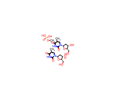 COP(=O)(O)O.Cc1cn([C@H]2C[C@H](O)[C@@H](CO)O2)c(=O)[nH]c1=O.Cc1cn([C@H]2C[C@H](O)[C@@H](CO)O2)c(=O)[nH]c1=O